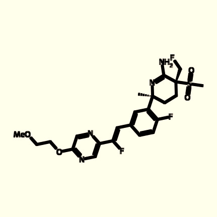 COCCOc1cnc(/C(F)=C/c2ccc(F)c([C@]3(C)CC[C@@](CF)(S(C)(=O)=O)C(N)=N3)c2)cn1